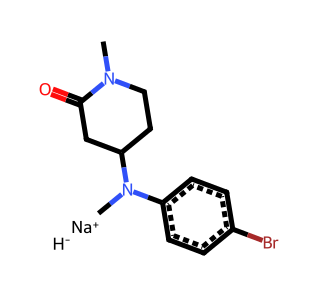 CN1CCC(N(C)c2ccc(Br)cc2)CC1=O.[H-].[Na+]